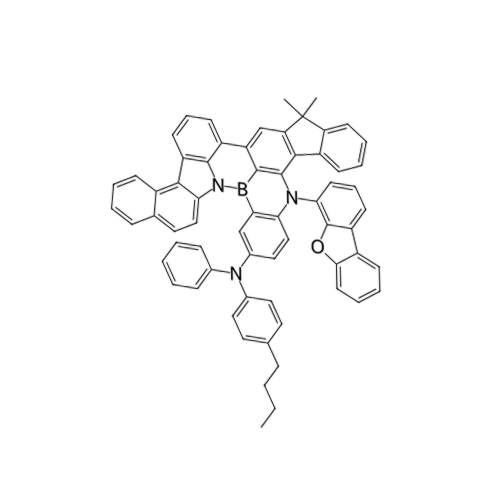 CCCCc1ccc(N(c2ccccc2)c2ccc3c(c2)B2c4c(cc5c(c4N3c3cccc4c3oc3ccccc34)-c3ccccc3C5(C)C)-c3cccc4c5c6ccccc6ccc5n2c34)cc1